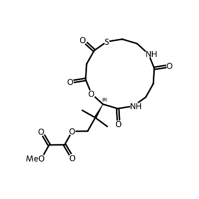 COC(=O)C(=O)OCC(C)(C)[C@H]1OC(=O)CC(=O)SCCNC(=O)CCNC1=O